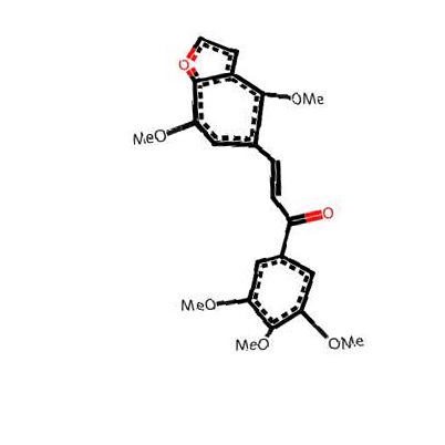 COc1cc(C(=O)/C=C/c2cc(OC)c3occc3c2OC)cc(OC)c1OC